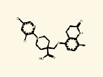 O=C1CCc2c(OCC3(C(=O)O)CCN(c4ncc(Cl)cc4Cl)CC3)ccc(F)c2N1